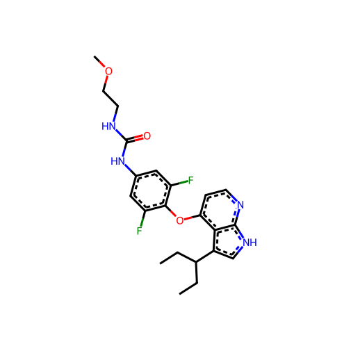 CCC(CC)c1c[nH]c2nccc(Oc3c(F)cc(NC(=O)NCCOC)cc3F)c12